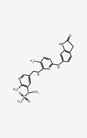 Cc1ncc(CNc2nc(Nc3ccc4c(c3)NC(=O)C4)ncc2C(F)(F)F)cc1N(C)S(C)(=O)=O